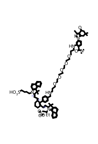 CCC(CS(=O)(=O)[O-])[N+]1=C(/C=C/C2=C(c3ccc(CNCCCOCCOCCOCCOCCOCCCNc4cc(-n5nc(C)c6c5CC(C)(C)CC6=O)ccc4C(=O)N(C)C)cc3)C(=C/C=C3/N(CCCCS(=O)(=O)O)c4ccc5ccccc5c4C3(C)C)/CCC2)C(C)(C)c2ccc3ccccc3c21